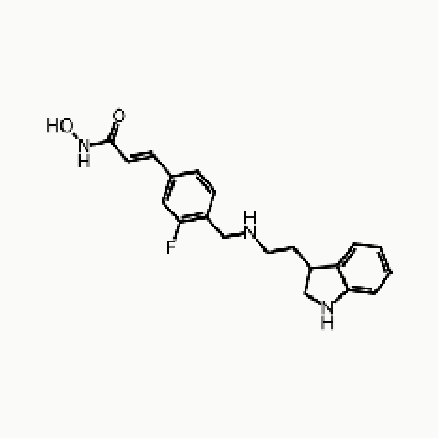 O=C(/C=C/c1ccc(CNCCC2CNc3ccccc32)c(F)c1)NO